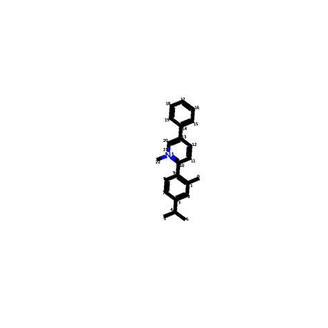 Cc1cc(C(C)C)ccc1-c1ccc(-c2ccccc2)c[n+]1C